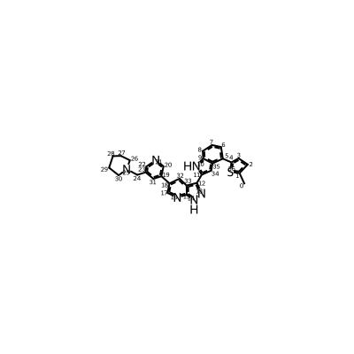 Cc1ccc(-c2cccc3[nH]c(-c4n[nH]c5ncc(-c6cncc(CN7CCCCC7)c6)cc45)cc23)s1